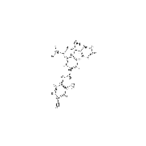 CN(C)CCC(O)(c1ccccc1)c1ccc(SCc2ccc(Cl)cc2Cl)cc1